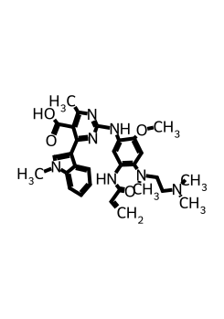 C=CC(=O)Nc1cc(Nc2nc(C)c(C(=O)O)c(-c3cn(C)c4ccccc34)n2)c(OC)cc1N(C)CCN(C)C